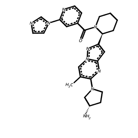 Cc1cn2nc([C@@H]3CCCCN3C(=O)c3ccnc(-n4ccnc4)c3)cc2nc1N1CC[C@H](N)C1